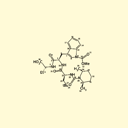 CC[C@@H](NC(=O)[C@@H](Cc1cn(C(=O)OC)c2ccccc12)NC(=O)[C@H](CC(C)(C)C)NC(=O)N1[C@H](C)CCC[C@@H]1C)C(=O)O